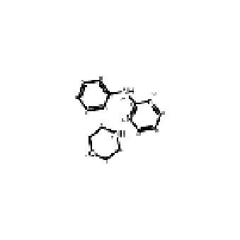 C1COCCN1.c1ccc(Nc2ncccn2)cc1